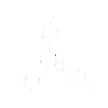 N#Cc1ccc(N2CC(=O)N(Cc3ccc(C(F)(F)F)cc3)C3(CN(c4ccc(C#N)cn4)C3)C2=O)cc1